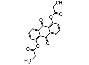 CCC(=O)Oc1cccc2c1C(=O)c1cccc(OC(=O)CC)c1C2=O